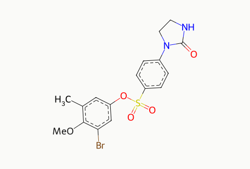 COc1c(C)cc(OS(=O)(=O)c2ccc(N3CCNC3=O)cc2)cc1Br